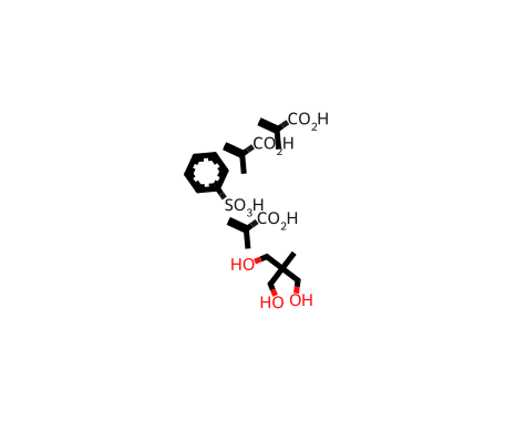 C=C(C)C(=O)O.C=C(C)C(=O)O.C=C(C)C(=O)O.CC(CO)(CO)CO.O=S(=O)(O)c1ccccc1